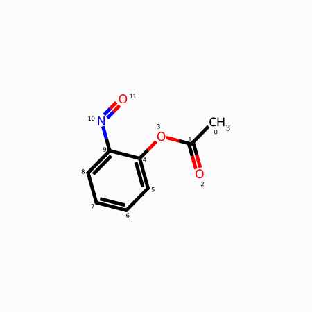 CC(=O)Oc1ccccc1N=O